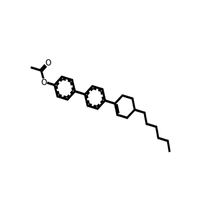 CCCCCCC1CC=C(c2ccc(-c3ccc(OC(C)=O)cc3)cc2)CC1